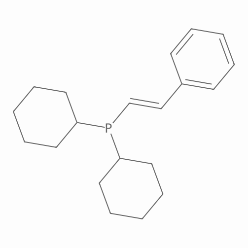 C(=CP(C1CCCCC1)C1CCCCC1)c1ccccc1